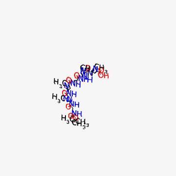 Cn1cc(NC(=O)c2nc(NC(=O)CCNC(=O)c3cc(NC(=O)c4nc(NC(=O)CCNC(=O)OC(C)(C)C)cn4C)cn3C)cn2C)cc1C(=O)O